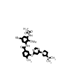 COc1c(NC(=O)c2ccc(C)c(Oc3cc(N4CCC(N(C)C)C4)ncn3)c2)cc(C(C)(C)C)cc1NS(C)(=O)=O